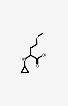 CSCCC(NC1CC1)C(=O)O